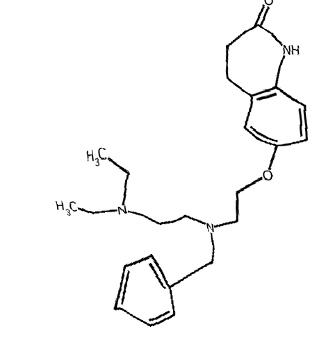 CCN(CC)CCN(CCOc1ccc2c(c1)CCC(=O)N2)Cc1ccccc1